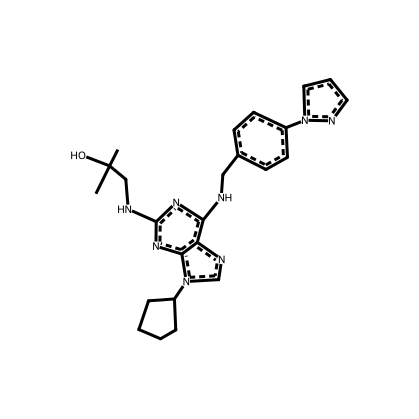 CC(C)(O)CNc1nc(NCc2ccc(-n3cccn3)cc2)c2ncn(C3CCCC3)c2n1